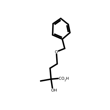 CC(O)(CCOCc1ccccc1)C(=O)O